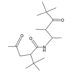 CC(=O)CC(C(=O)NC(C)C(C)C(=O)C(C)(C)C)C(C)(C)C